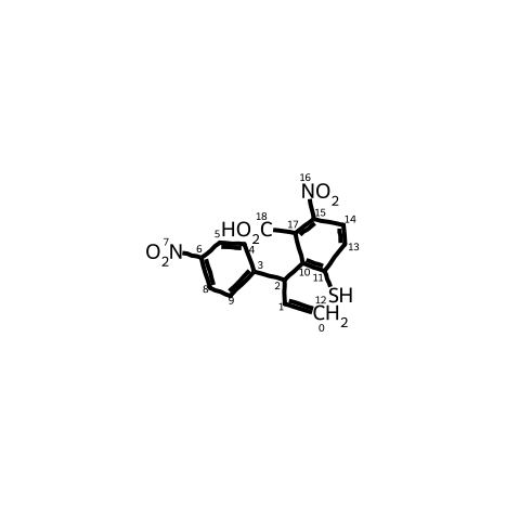 C=CC(c1ccc([N+](=O)[O-])cc1)c1c(S)ccc([N+](=O)[O-])c1C(=O)O